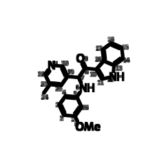 COc1cccc(NC(C(=O)c2c[nH]c3ccccc23)c2cncc(C)c2)c1